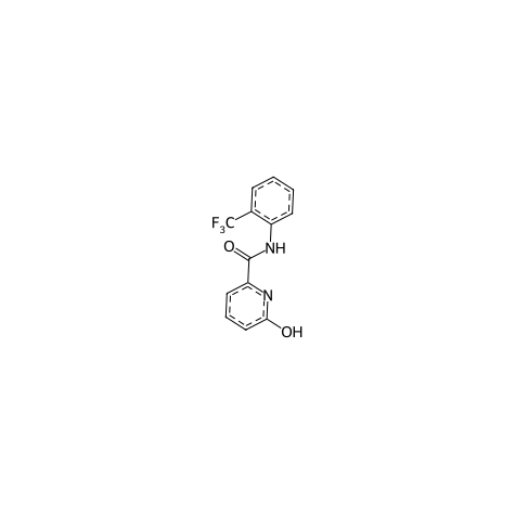 O=C(Nc1ccccc1C(F)(F)F)c1cccc(O)n1